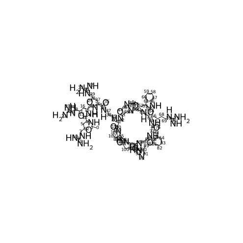 CC(=O)N[C@@H](CCCNC(=N)N)C(=O)N[C@@H](CCCNC(=N)N)C(=O)N[C@@H](CCCNC(=N)N)C(=O)NCCCC[C@@H]1NC(=O)[C@H](CN)NC(=O)[C@H](Cc2c[nH]c3ccccc23)NC(=O)[C@H](CCCCNC(=N)N)NC(=O)[C@@H](Cc2ccccc2)NC(=O)[C@H](Cc2cnc[nH]2)NC(=O)[C@@H]2CCCN2C(=O)[C@H]2CCCN2C1=O